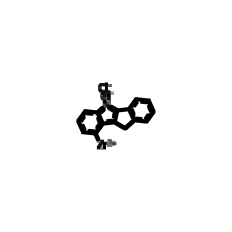 [Cl-].[Cl-].[Zr+2][c]1cccc2[nH]c3c(c12)Cc1ccccc1-3